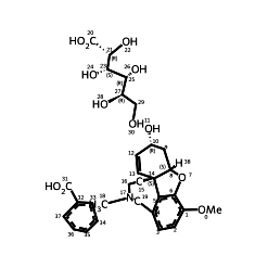 COc1ccc2c3c1O[C@H]1C[C@@H](O)C=C[C@@]31CCN(C)C2.O=C(O)[C@H](O)[C@@H](O)[C@H](O)[C@H](O)CO.O=C(O)c1ccccc1